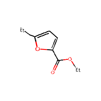 CCOC(=O)c1ccc(CC)o1